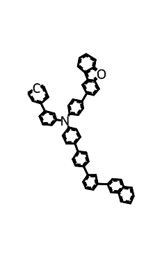 c1ccc(-c2cccc(N(c3ccc(-c4ccc(-c5cccc(-c6ccc7ccccc7c6)c5)cc4)cc3)c3ccc(-c4ccc5oc6ccccc6c5c4)cc3)c2)cc1